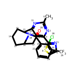 Cc1nc(-c2nccs2)c2c(n1)C1CCCC(C2)N1C(=O)c1cccc(C(F)(F)F)c1Cl